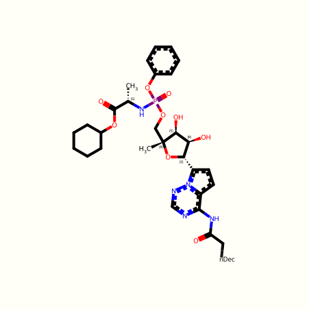 CCCCCCCCCCCC(=O)Nc1ncnn2c([C@@H]3O[C@](C)(COP(=O)(N[C@@H](C)C(=O)OC4CCCCC4)Oc4ccccc4)[C@@H](O)[C@H]3O)ccc12